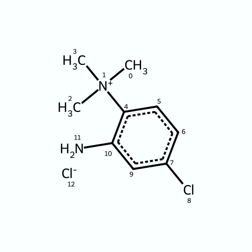 C[N+](C)(C)c1ccc(Cl)cc1N.[Cl-]